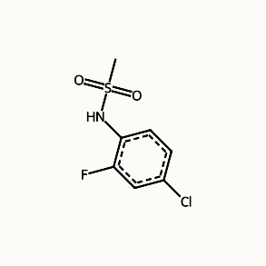 CS(=O)(=O)Nc1ccc(Cl)cc1F